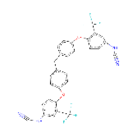 N#CNc1ccc(Oc2ccc(Cc3ccc(Oc4ccc(NC#N)cc4C(F)(F)F)cc3)cc2)c(C(F)(F)F)c1